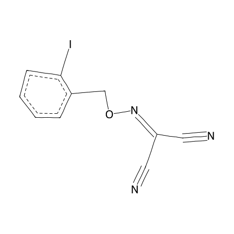 N#CC(C#N)=NOCc1ccccc1I